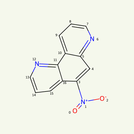 O=[N+]([O-])c1cc2ncccc2c2ncccc12